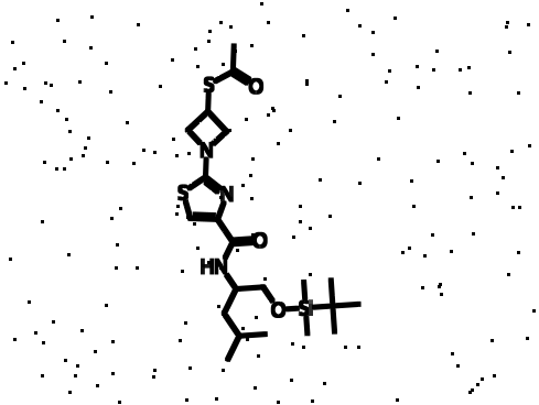 CC(=O)SC1CN(c2nc(C(=O)NC(CO[Si](C)(C)C(C)(C)C)CC(C)C)cs2)C1